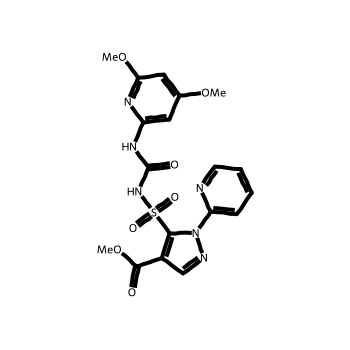 COC(=O)c1cnn(-c2ccccn2)c1S(=O)(=O)NC(=O)Nc1cc(OC)cc(OC)n1